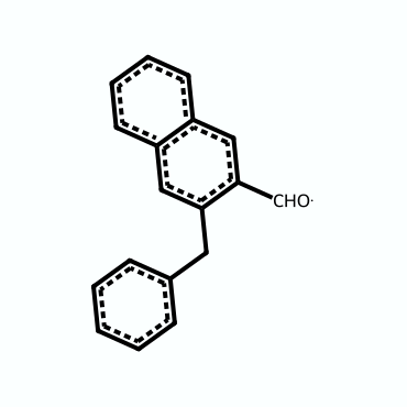 O=[C]c1cc2ccccc2cc1Cc1ccccc1